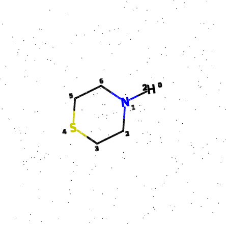 [2H]N1CCSCC1